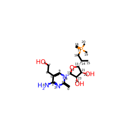 C=C1N=C(N)C(CCO)=CN1[C@@H]1O[C@H](C(C)CP(=C)(C)C)[C@@H](O)[C@H]1O